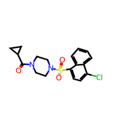 O=C(C1CC1)N1CCN(S(=O)(=O)c2ccc(Cl)c3ccccc23)CC1